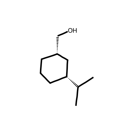 CC(C)[C@@H]1CCC[C@H](CO)C1